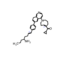 CCCC(N)CC/C=C/c1ccc(C2=CCC3=CN=CC=C(N4CC/C=C(\C(=O)C5CC5)CCC4)C3=C2)cc1